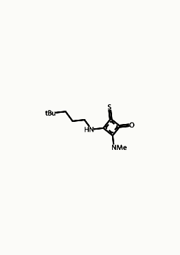 CNc1c(NCCCC(C)(C)C)c(=S)c1=O